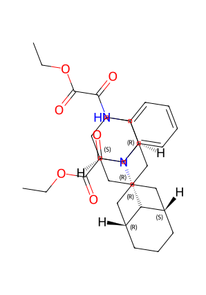 CCOC(=O)C(=O)Nc1ccccc1N(C(=O)C(=O)OCC)[C@H]1C[C@H]2CCC[C@@H](C1)C2[C@H]1C[C@@H]2CCC[C@@H](C2)C1